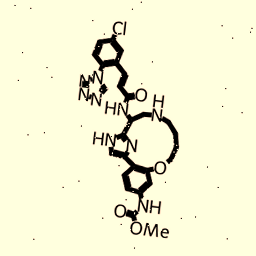 COC(=O)Nc1ccc2c(c1)OCCCCNCC(NC(=O)C=Cc1cc(Cl)ccc1-n1cnnn1)c1nc-2c[nH]1